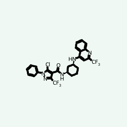 O=C(N[C@@H]1CCC[C@H](Nc2cc(C(F)(F)F)nc3ccccc23)C1)c1c(C(F)(F)F)nn(-c2ccccc2)c1Cl